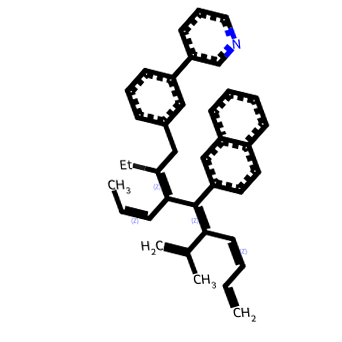 C=C\C=C/C(C(=C)C)=C(C(/C=C\C)=C(/CC)Cc1cccc(-c2cccnc2)c1)\c1ccc2ccccc2c1